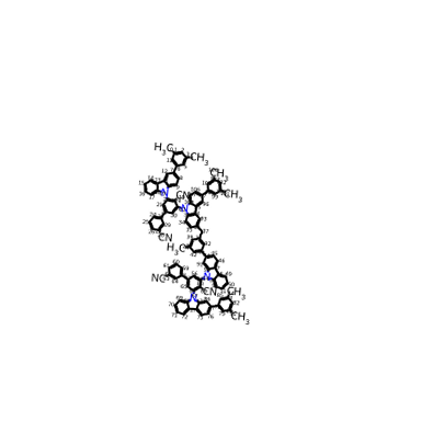 Cc1cc(C)cc(-c2ccc3c(c2)c2ccccc2n3-c2cc(-c3cccc(C#N)c3)cc(-n3c4ccc(Cc5cc(C)cc(-c6ccc7c8ccccc8n(-c8cc(-c9cccc(C#N)c9)cc(-n9c%10ccccc%10c%10ccc(-c%11cc(C)cc(C)c%11)cc%109)c8C#N)c7c6)c5)cc4c4cc(-c5cc(C)cc(C)c5)ccc43)c2C#N)c1